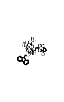 CC(C)(C)OC(=O)[C@H](CCC(=O)ON1C(=O)CCC1=O)NC(=O)OCC1c2ccccc2-c2ccccc21